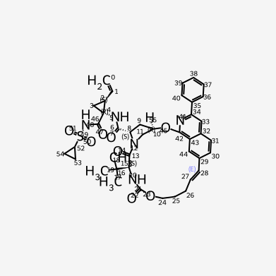 C=C[C@@H]1C[C@]1(NC(=O)[C@@H]1C[C@@H]2CN1C(=O)[C@H](C(C)(C)C)NC(=O)OCCC/C=C/c1ccc3cc(-c4ccccc4)nc(c3c1)O2)C(=O)NS(=O)(=O)C1CC1